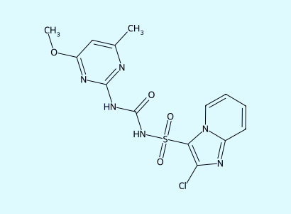 COc1cc(C)nc(NC(=O)NS(=O)(=O)c2c(Cl)nc3ccccn23)n1